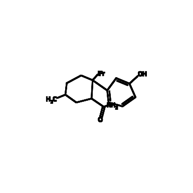 CC1CCC(c2cccc(O)c2)(C(C)C)C(C(N)=O)C1